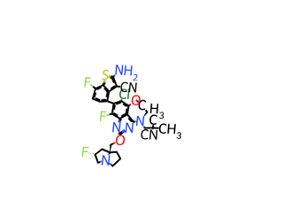 CC(C)(C#N)CN1CCOc2c(Cl)c(-c3ccc(F)c4sc(N)c(C#N)c34)c(F)c3nc(OC[C@@]45CCCN4C[C@H](F)C5)nc1c23